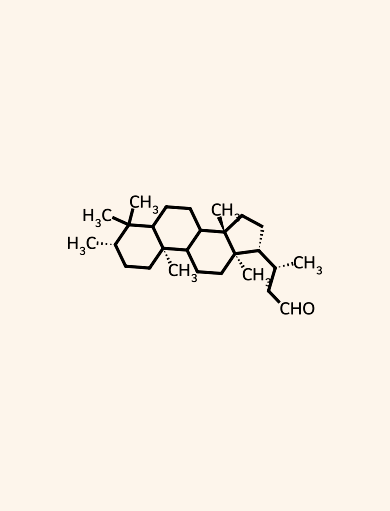 C[C@H](CC=O)[C@H]1CC[C@@]2(C)C3CCC4C(C)(C)[C@@H](C)CC[C@]4(C)C3CC[C@]12C